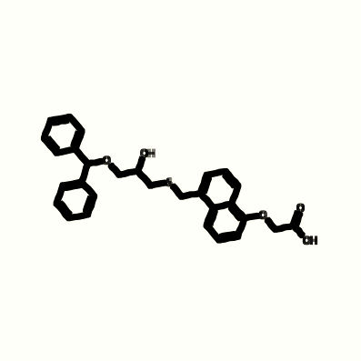 O=C(O)COc1cccc2c(CSCC(O)COC(c3ccccc3)c3ccccc3)cccc12